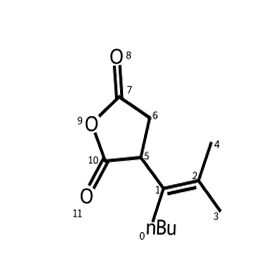 CCCCC(=C(C)C)C1CC(=O)OC1=O